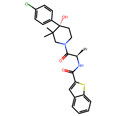 CC(C)[C@@H](NC(=O)c1cc2ccccc2s1)C(=O)N1CC[C@](O)(c2ccc(Cl)cc2)C(C)(C)C1